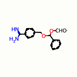 N=C(N)c1ccc(COC(O[C]=O)c2ccccc2)cc1